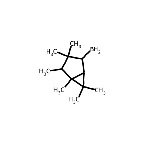 BC1C2C(C)(C)C2(C)C(C)C1(C)C